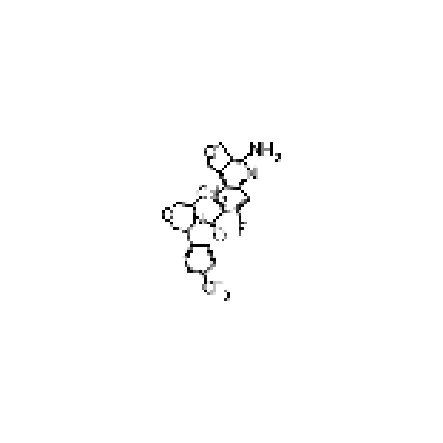 C[C@@H]1COC[C@H](c2ccc(C(F)(F)F)cc2)N1C(=O)c1cc2c3c(c(N)nc2cc1F)COC3